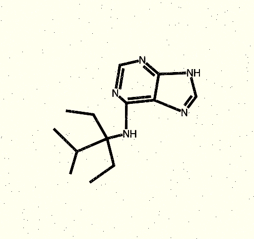 CCC(CC)(Nc1ncnc2[nH]cnc12)C(C)C